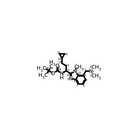 CN(C)Cc1cccc2nc(C(CCC3CC3)NC(=O)OC(C)(C)C)n(C)c12